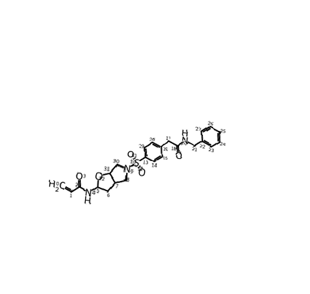 C=CC(=O)NC1CC2CN(S(=O)(=O)c3ccc(CC(=O)NCc4ccccc4)cc3)CC2O1